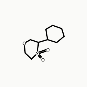 O=S1(=O)CCOCC1C1CCCCC1